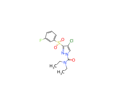 CCN(CC)C(=O)n1cc(Cl)c(S(=O)(=O)c2cccc(F)c2)n1